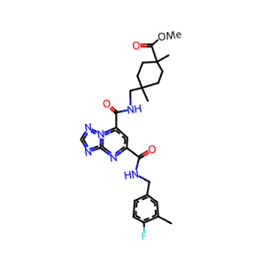 COC(=O)C1(C)CCC(C)(CNC(=O)c2cc(C(=O)NCc3ccc(F)c(C)c3)nc3ncnn23)CC1